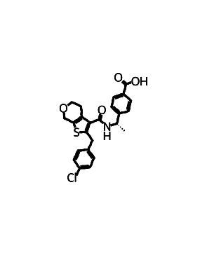 C[C@H](NC(=O)c1c(Cc2ccc(Cl)cc2)sc2c1CCOC2)c1ccc(C(=O)O)cc1